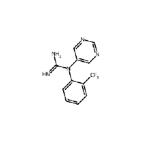 N=C(N)N(c1cncnc1)c1ccccc1C(F)(F)F